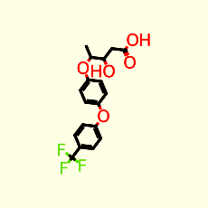 CC(Oc1ccc(Oc2ccc(C(F)(F)F)cc2)cc1)C(O)CC(=O)O